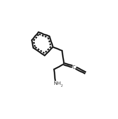 C=C=C(CN)Cc1ccccc1